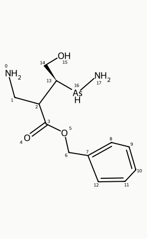 NCC(C(=O)OCc1ccccc1)[C@@H](CO)[AsH]N